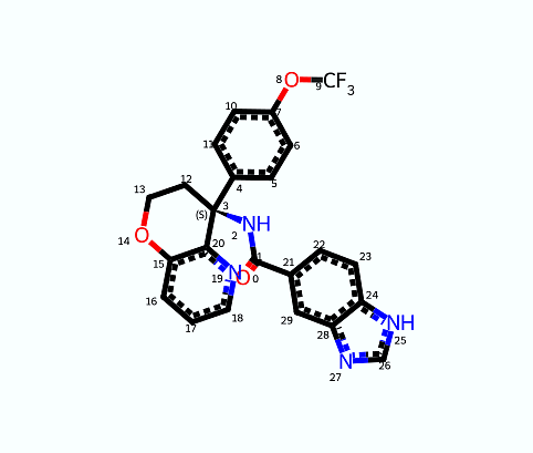 O=C(N[C@]1(c2ccc(OC(F)(F)F)cc2)CCOc2cccnc21)c1ccc2[nH]cnc2c1